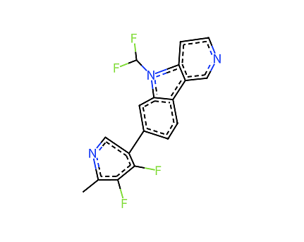 Cc1ncc(-c2ccc3c4cnccc4n(C(F)F)c3c2)c(F)c1F